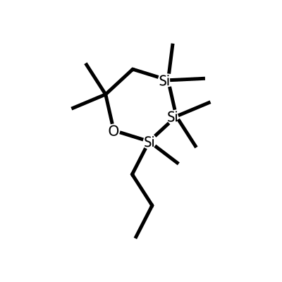 CCC[Si]1(C)OC(C)(C)C[Si](C)(C)[Si]1(C)C